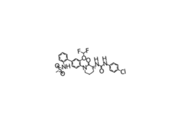 CS(=O)(=O)Nc1ccccc1-c1ccc(N2CCC[C@@H](NC(=O)Nc3ccc(Cl)cc3)C2=O)c(OC(F)F)c1